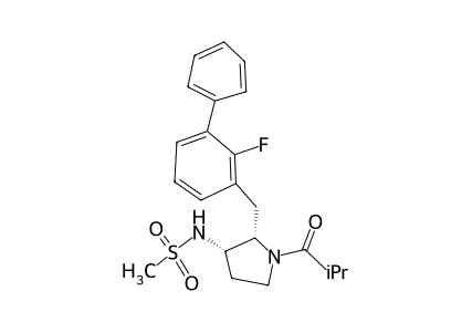 CC(C)C(=O)N1CC[C@H](NS(C)(=O)=O)[C@@H]1Cc1cccc(-c2ccccc2)c1F